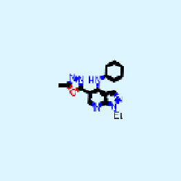 CCn1ncc2c(NC3CCCCC3)c(-c3nnc(C)o3)cnc21